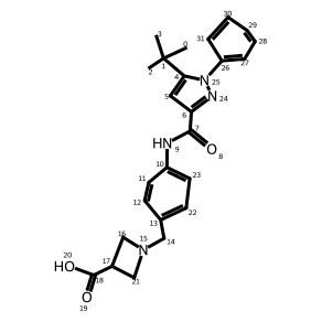 CC(C)(C)c1cc(C(=O)Nc2ccc(CN3CC(C(=O)O)C3)cc2)nn1-c1ccccc1